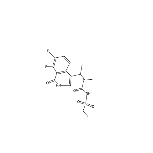 CCS(=O)(=O)NC(=O)N(C)C(C)c1c[nH]c(=O)c2c(F)c(F)ccc12